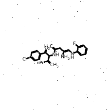 C=C(C/C(N)=C/Nc1ccccc1F)NC(C(=C)CCC)C(=O)c1ccc(Cl)cc1